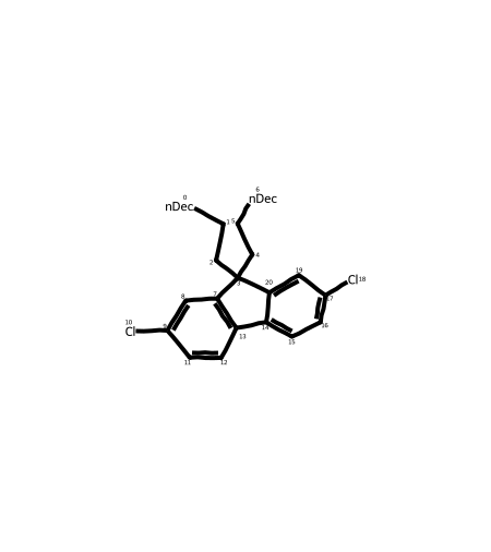 CCCCCCCCCCCCC1(CCCCCCCCCCCC)c2cc(Cl)ccc2-c2ccc(Cl)cc21